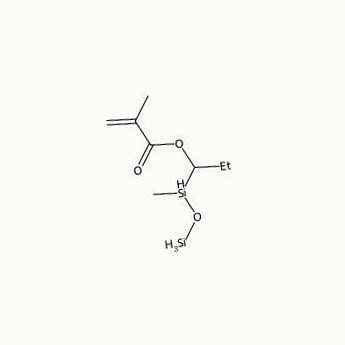 C=C(C)C(=O)OC(CC)[SiH](C)O[SiH3]